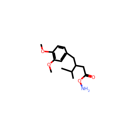 COc1ccc(CC(CC(=O)ON)C(C)C)cc1OC